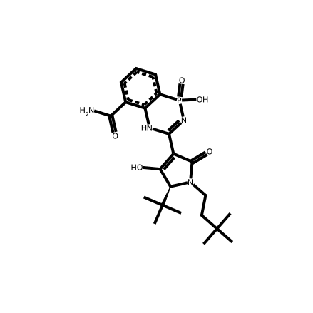 CC(C)(C)CCN1C(=O)C(C2=NP(=O)(O)c3cccc(C(N)=O)c3N2)=C(O)[C@@H]1C(C)(C)C